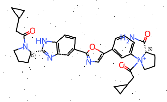 NC(=O)[C@@H]1CCC[N+]1(C(=O)CC1CC1)c1cccc(-c2cnc(-c3ccc4[nH]c([C@@H]5CCCN5C(=O)CC5CC5)nc4c3)o2)c1